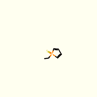 CCP1(=S)C=CC=C1